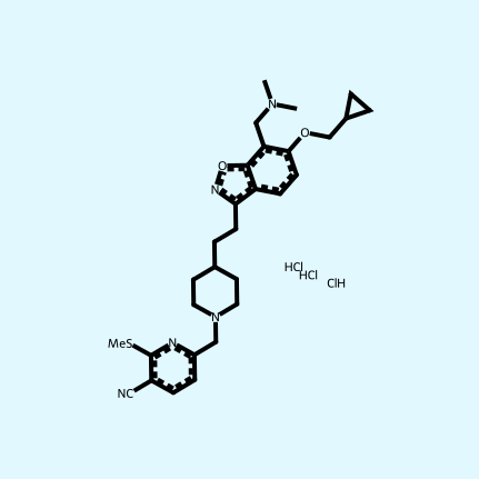 CSc1nc(CN2CCC(CCc3noc4c(CN(C)C)c(OCC5CC5)ccc34)CC2)ccc1C#N.Cl.Cl.Cl